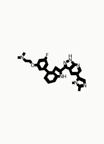 Cc1ncc(-c2cnc3[nH]nc(-c4cc5c(-c6cc(F)cc(OCCN(C)C)c6)cccc5[nH]4)c3c2)n1C